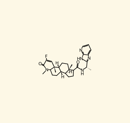 C[C@H](NC(=O)C1CC[C@H]2[C@@H]3CCC4N(C)C(=O)C(F)=C[C@]4(C)[C@@H]3CC[C@]12C)c1nc2cccnc2[nH]1